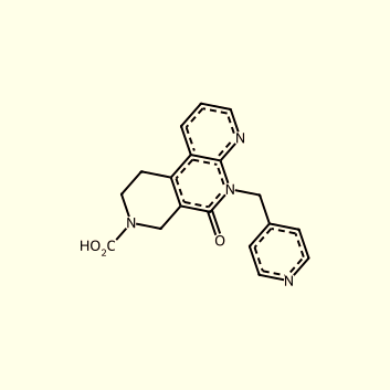 O=C(O)N1CCc2c(c(=O)n(Cc3ccncc3)c3ncccc23)C1